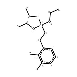 CCO[Si](CCc1cccc(C)c1C)(OCC)OCC